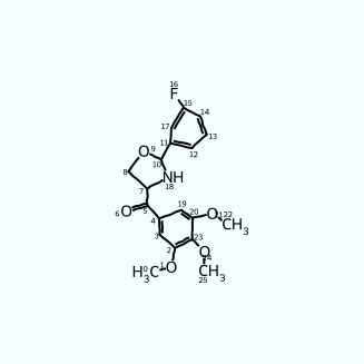 COc1cc(C(=O)C2COC(c3cccc(F)c3)N2)cc(OC)c1OC